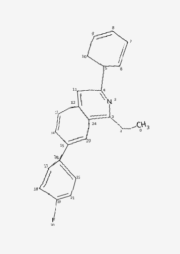 CCc1nc(C2C=CC=CC2)cc2ccc(-c3ccc(F)cc3)cc12